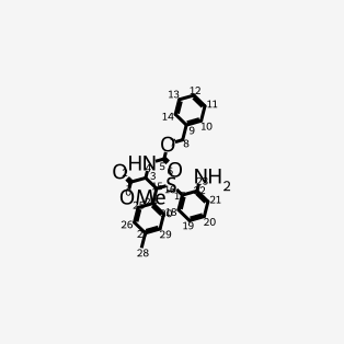 COC(=O)C(NC(=O)OCc1ccccc1)C(Sc1ccccc1N)c1ccc(C)cc1